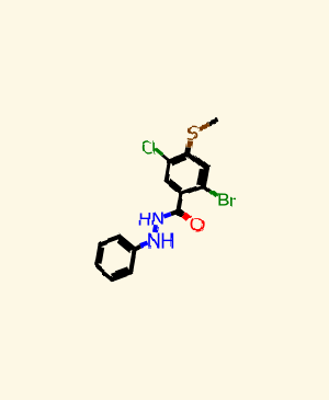 CSc1cc(Br)c(C(=O)NNc2ccccc2)cc1Cl